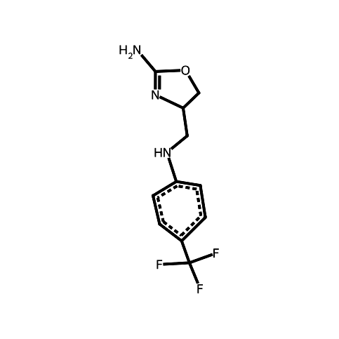 NC1=NC(CNc2ccc(C(F)(F)F)cc2)CO1